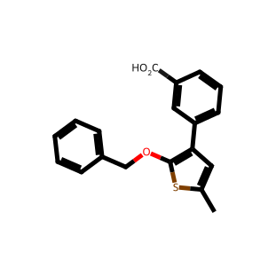 Cc1cc(-c2cccc(C(=O)O)c2)c(OCc2ccccc2)s1